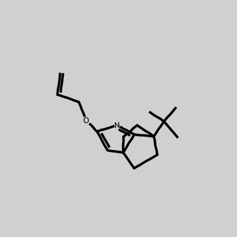 C=CCOC1=CC23CCC(C(C)(C)C)(CC2)C3=N1